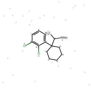 CNC(C)C1(c2cccc(Cl)c2Cl)CCCCC1